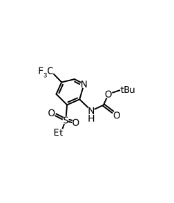 CCS(=O)(=O)c1cc(C(F)(F)F)cnc1NC(=O)OC(C)(C)C